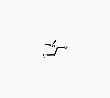 C[Se]C.NCCS